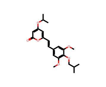 COc1cc(C=Cc2cc(OC(C)C)cc(=O)o2)cc(OC)c1OCC(C)C